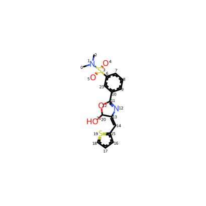 CN(C)S(=O)(=O)c1cccc(C2=N/C(=C/c3cccs3)C(O)O2)c1